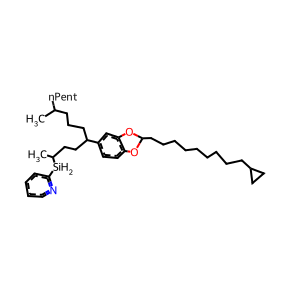 CCCCCC(C)CCCC(CCC(C)[SiH2]c1ccccn1)c1ccc2c(c1)OC(CCCCCCCCCC1CC1)O2